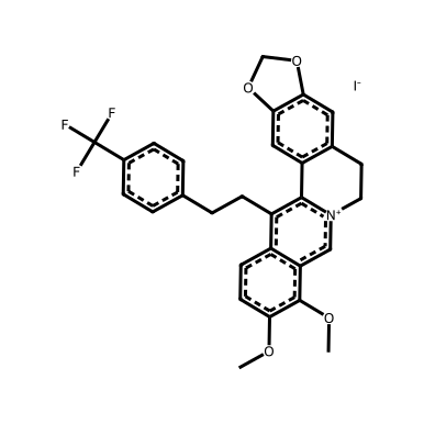 COc1ccc2c(CCc3ccc(C(F)(F)F)cc3)c3[n+](cc2c1OC)CCc1cc2c(cc1-3)OCO2.[I-]